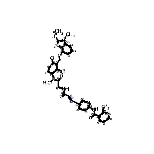 COc1nc2c(OCc3c(Cl)ccc(N(C)C(=O)CNC(=O)/C=C/c4ccc(NC(=O)c5cccnc5C)nc4)c3Cl)cccc2n1C